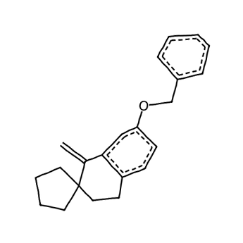 C=C1c2cc(OCc3ccccc3)ccc2CCC12CCCC2